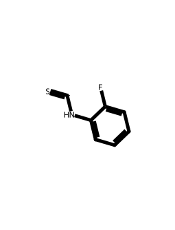 Fc1ccccc1N[C]=S